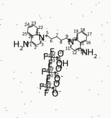 Nc1cc[n+](CCCCC[n+]2ccc(N)c3ccccc32)c2ccccc12.O=C(O)C(F)(F)F.O=C([O-])C(F)(F)F.O=C([O-])C(F)(F)F